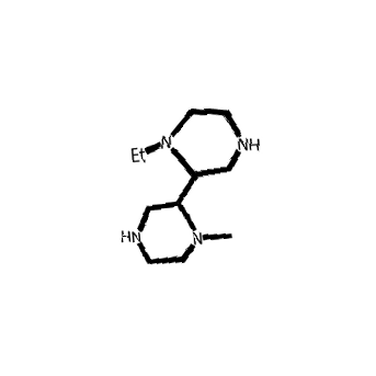 CCN1CCNC[C]1C1CNCCN1C